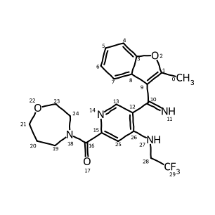 Cc1oc2ccccc2c1C(=N)c1cnc(C(=O)N2CCCOCC2)cc1NCC(F)(F)F